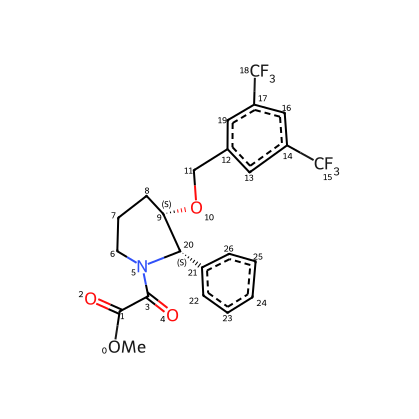 COC(=O)C(=O)N1CCC[C@H](OCc2cc(C(F)(F)F)cc(C(F)(F)F)c2)[C@@H]1c1ccccc1